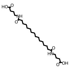 O=C(O)CCCNC(=O)CCCCCCCCCCCCCCC(=O)NCCCC(=O)O